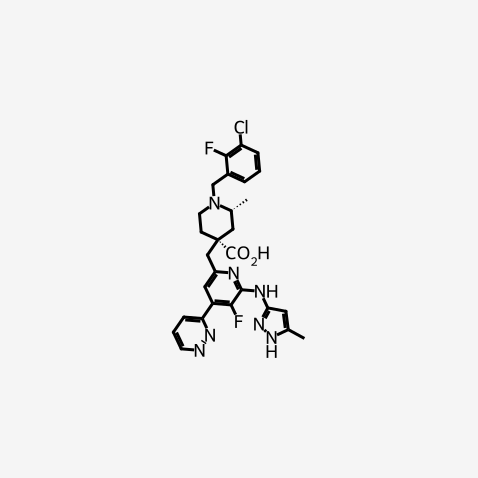 Cc1cc(Nc2nc(C[C@@]3(C(=O)O)CCN(Cc4cccc(Cl)c4F)[C@H](C)C3)cc(-c3cccnn3)c2F)n[nH]1